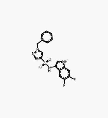 O=S(=O)(Nc1c[nH]c2cc(F)c(F)cc12)c1cnn(Cc2ccccc2)c1